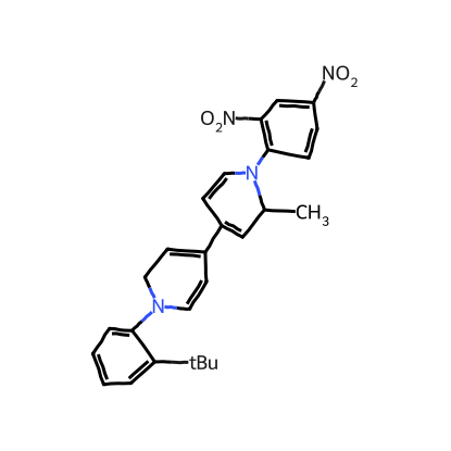 CC1C=C(C2=CCN(c3ccccc3C(C)(C)C)C=C2)C=CN1c1ccc([N+](=O)[O-])cc1[N+](=O)[O-]